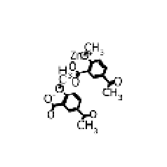 COc1ccc(C(C)=O)cc1C(=O)[O-].COc1ccc(C(C)=O)cc1C(=O)[O-].[Zn+2]